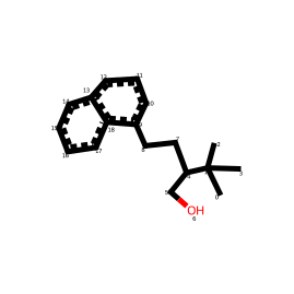 CC(C)(C)C(CO)CCc1cccc2ccccc12